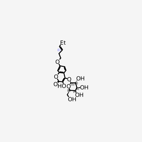 CC/C=C/CCOc1ccc2c(O[C@@H]3O[C@H](CO)[C@H](O)[C@H](O)[C@H]3O)c(O)c(=O)oc2c1